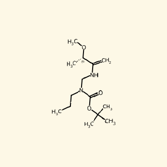 C=C(NCN(CCC)C(=O)OC(C)(C)C)[C@H](C)OC